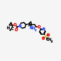 CC1(OC(=O)N2CCC([C@H]3C[C@@]3(N)CCOc3ccc(S(C)(=O)=O)cn3)CC2)CC1